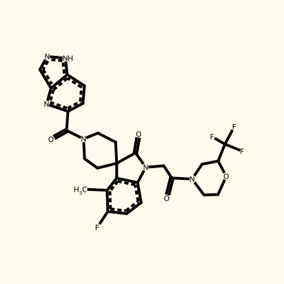 Cc1c(F)ccc2c1C1(CCN(C(=O)c3ccc4[nH]ncc4n3)CC1)C(=O)N2CC(=O)N1CCOC(C(F)(F)F)C1